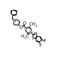 C[C@@H]1CN(c2nc3cc(F)c(F)cc3s2)[C@@H](C)CN1C(=O)OC1CCN(Cc2ccccc2)CC1